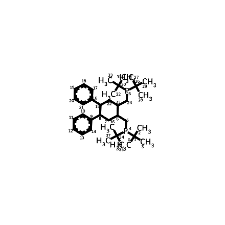 CC(C)(C)P(CC1CC(c2ccccc2)C(c2ccccc2)CC1CP(C(C)(C)C)C(C)(C)C)C(C)(C)C